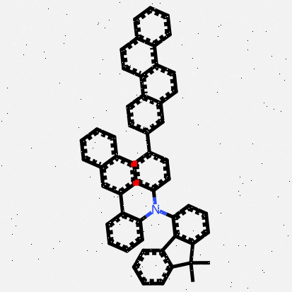 CC1(C)c2ccccc2-c2c(N(c3ccc(-c4ccc5c(ccc6c7ccccc7ccc56)c4)cc3)c3ccccc3-c3ccc4ccccc4c3)cccc21